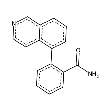 NC(=O)c1ccccc1-c1cccc2cnccc12